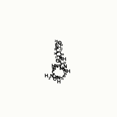 N[C@H]1CCCNc2nc(ncc2C(=O)Nc2ccc(CN3CCOCC3)cc2)NCCCNC1=O